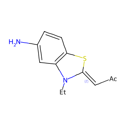 CCN1/C(=C/C(C)=O)Sc2ccc(N)cc21